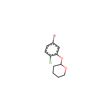 Clc1ccc(Br)cc1OC1CCCCO1